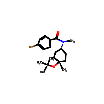 CN(C(=O)c1ccc(Br)cc1)[C@H]1CC[C@@](C)(O[Si](C)(C)C(C)(C)C)CC1